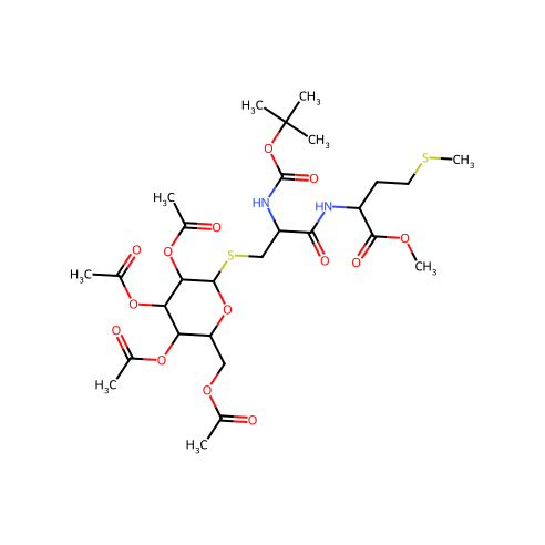 COC(=O)C(CCSC)NC(=O)C(CSC1OC(COC(C)=O)C(OC(C)=O)C(OC(C)=O)C1OC(C)=O)NC(=O)OC(C)(C)C